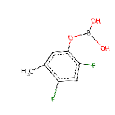 Cc1cc(OB(O)O)c(F)cc1F